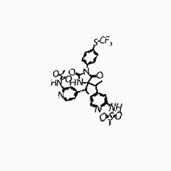 CC(c1ccnc(NS(C)(=O)=O)c1)C1(C(C)c2ccnc(NS(C)(=O)=O)c2)NC(=O)N(c2ccc(SC(F)(F)F)cc2)C1=O